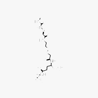 C=NNC(=O)CCC(NC(=O)CSSCCNC(=O)/C=N/NC(=O)NI)C(=O)O